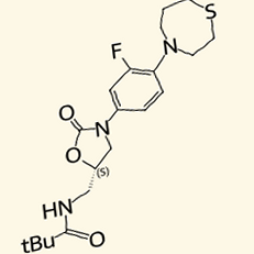 CC(C)(C)C(=O)NC[C@H]1CN(c2ccc(N3CCCSCC3)c(F)c2)C(=O)O1